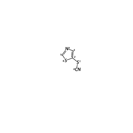 N#CSc1cn[c]s1